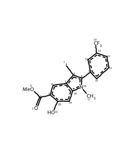 COC(=O)c1cc2c(I)c(-c3cccc(C(F)(F)F)c3)n(C)c2cc1O